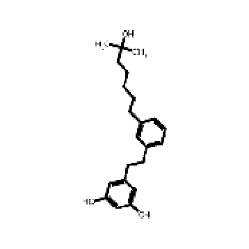 CC(C)(O)CCCCCc1cccc(CCc2cc(O)cc(O)c2)c1